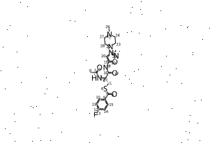 CC(=O)N[C@@H](CSC(=O)c1ccc(F)cc1)C(=O)[N-]c1c[n+](N2CCN(C)CC2)no1